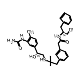 CC(C)(Cc1cccc(CC(=O)N[C@H](CO)Cc2ccccc2)c1)NC[C@H](O)c1ccc(O)c(NC(N)=O)c1